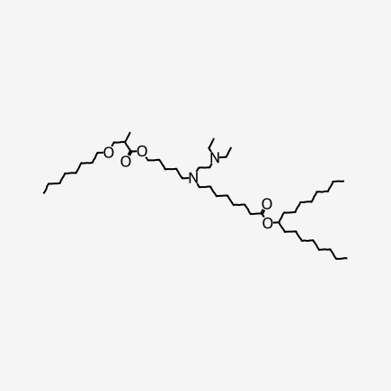 CCCCCCCCOCC(C)C(=O)OCCCCCN(CCCCCCCC(=O)OC(CCCCCCCC)CCCCCCCC)CCN(CC)CC